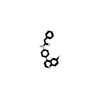 O=C(Cc1ccccc1)N[C@H]1CC[C@H](c2ccnc3ccc(F)cc32)CC1